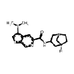 CN(C)c1csc2cnc(C(=O)N[C@@H]3C[C@@H]4CCN(C4)C3)cc12